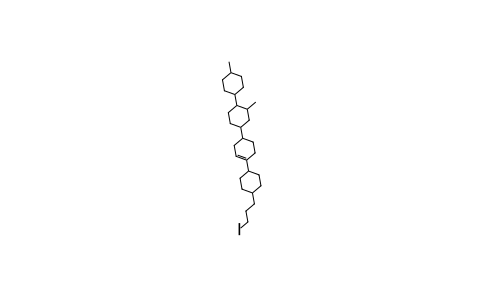 CC1CCC(C2CCC(C3CC=C(C4CCC(CCCI)CC4)CC3)CC2C)CC1